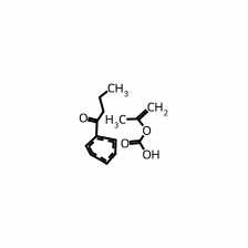 C=C(C)OC(=O)O.CCCC(=O)c1ccccc1